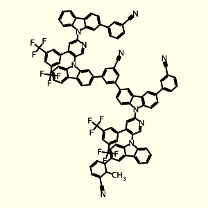 CC1C(C#N)=CC=CC1c1ccc2c(c1)c1ccccc1n2-c1cnc(-n2c3ccc(-c4cccc(C#N)c4)cc3c3cc(-c4cc(C#N)cc(-c5ccc6c7ccccc7n(-c7cnc(-n8c9ccccc9c9ccc(-c%10cccc(C#N)c%10)cc98)cc7-c7cc(C(F)(F)F)cc(C(F)(F)F)c7)c6c5)c4)ccc32)cc1-c1cc(C(F)(F)F)cc(C(F)(F)F)c1